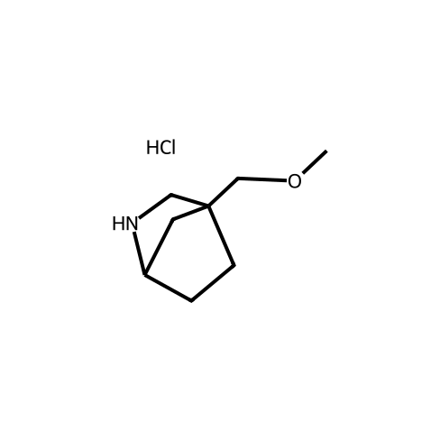 COCC12CCC(C1)NC2.Cl